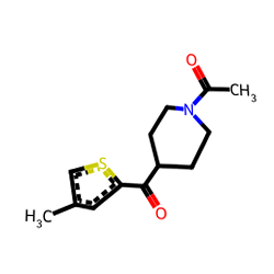 CC(=O)N1CCC(C(=O)c2cc(C)cs2)CC1